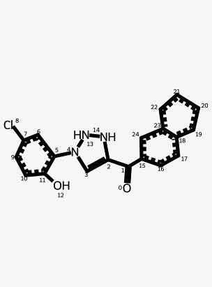 O=C(C1=CN(c2cc(Cl)ccc2O)NN1)c1ccc2ccccc2c1